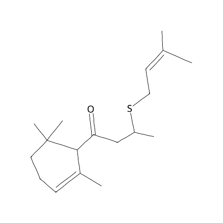 CC(C)=CCSC(C)CC(=O)C1C(C)=CCCC1(C)C